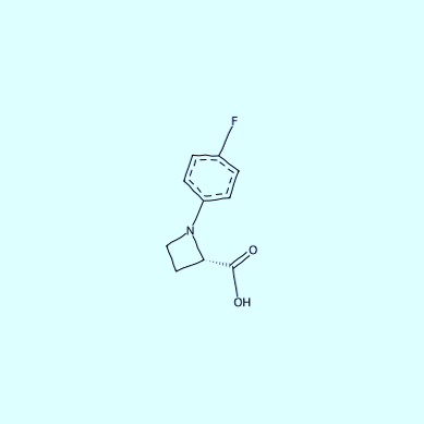 O=C(O)[C@@H]1CCN1c1ccc(F)cc1